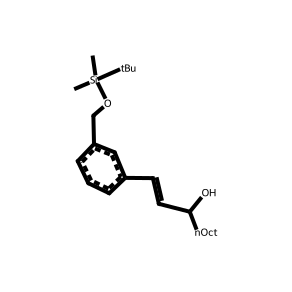 CCCCCCCCC(O)/C=C/c1cccc(CO[Si](C)(C)C(C)(C)C)c1